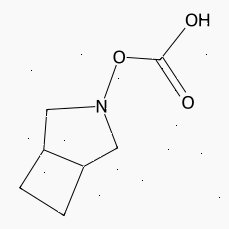 O=C(O)ON1CC2CCC2C1